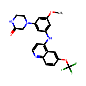 COc1cc(Nc2ccnc3ccc(OC(F)(F)F)cc23)cc(N2CCNC(=O)C2)c1